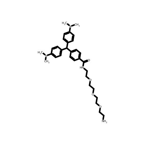 CN(C)c1ccc(C(c2ccc(C(=O)NCCOCCOCCOCCN)cc2)c2ccc(N(C)C)cc2)cc1